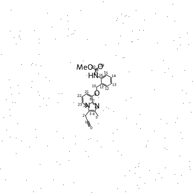 C#CCc1c(C)nc2c(OCc3ccccc3NC(=O)OC)cccn12